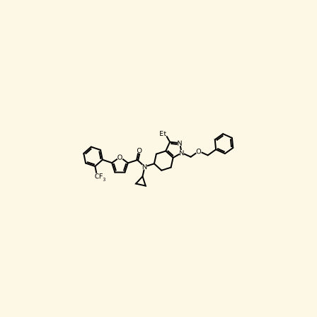 CCc1nn(COCc2ccccc2)c2c1CC(N(C(=O)c1ccc(-c3ccccc3C(F)(F)F)o1)C1CC1)CC2